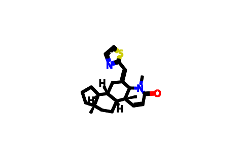 CN1C(=O)C=C[C@@]2(C)C1C(=Cc1nccs1)C[C@@H]1[C@H]2CC[C@]2(C)CCC[C@@H]12